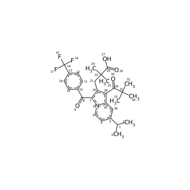 CC(C)c1ccn2c(C(=O)c3ccc(C(F)(F)F)cc3)c(CC(C)(C)C(=O)O)c(C(=O)C(C)(C)C)c2c1